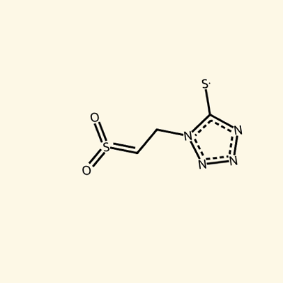 O=S(=O)=CCn1nnnc1[S]